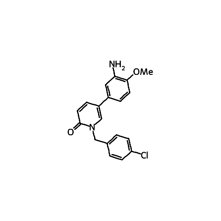 COc1ccc(-c2ccc(=O)n(Cc3ccc(Cl)cc3)c2)cc1N